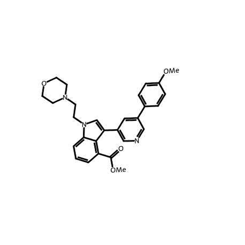 COC(=O)c1cccc2c1c(-c1cncc(-c3ccc(OC)cc3)c1)cn2CCN1CCOCC1